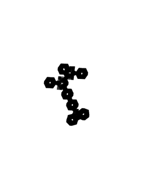 c1ccc(-c2nc(-c3ccc(-c4ccc(-n5c6ccccc6c6ccccc65)cc4)cc3)cc(-c3nc(-c4ccccc4)nc4ccccc34)n2)cc1